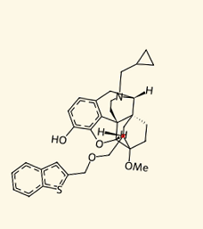 COC12CC[C@@]3(C[C@H]1COCc1cc4ccccc4s1)[C@H]1Cc4ccc(O)c5c4[C@@]3(CCN1CC1CC1)[C@H]2O5